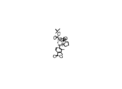 Cc1c([C@H](CNC(=O)OC(C)(C)C)N2CCCS2(=O)=O)ccc2c1COC2=O